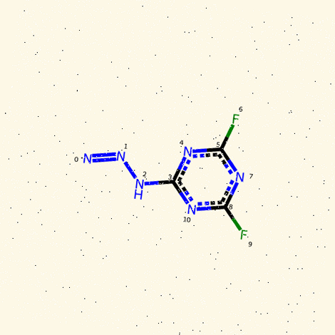 [N]=NNc1nc(F)nc(F)n1